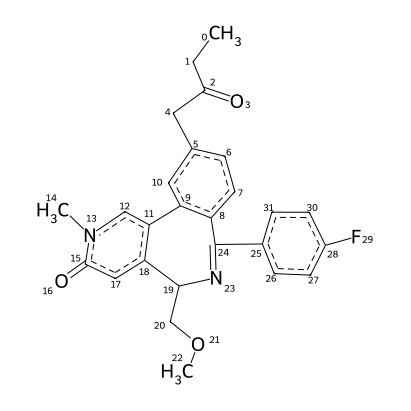 CCC(=O)Cc1ccc2c(c1)-c1cn(C)c(=O)cc1C(COC)N=C2c1ccc(F)cc1